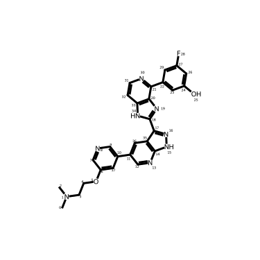 CN(C)CCOc1cncc(-c2cnc3[nH]nc(-c4nc5c(-c6cc(O)cc(F)c6)nccc5[nH]4)c3c2)c1